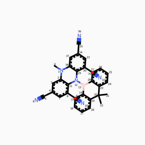 CN1c2cc(C#N)cc(C#N)c2N(B2c3ccccc3C(C)(C)c3ccccc32)c2c(C#N)cc(C#N)cc21